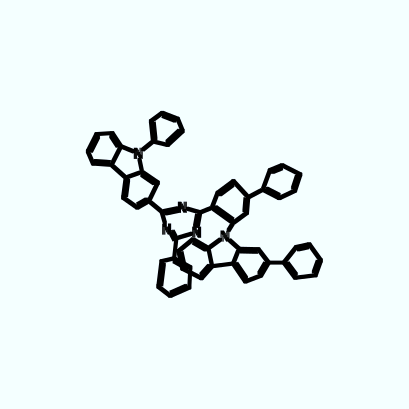 c1ccc(-c2ccc(-c3nc(-c4ccccc4)nc(-c4ccc5c6ccccc6n(-c6ccccc6)c5c4)n3)c(-n3c4ccccc4c4ccc(-c5ccccc5)cc43)c2)cc1